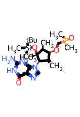 C=C1[C@H](OCP(C)(C)=O)[C@H](C)[C@@](C)(O[Si](C)(C)C(C)(C)C)[C@@H]1n1cnc2c(=O)[nH]c(N)nc21